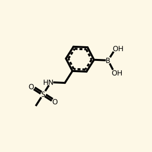 CS(=O)(=O)NCc1cccc(B(O)O)c1